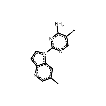 Cc1cnc2ccn(-c3ncc(F)c(N)n3)c2c1